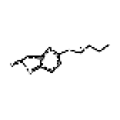 CCCCSc1ccc2c(c1)=CC(=O)N=2